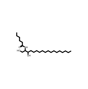 CCCCCCCCCCCCCCCC(O)C(CO)NC(=O)CCCCC